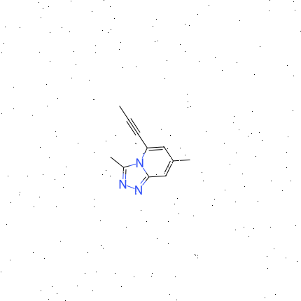 CC#Cc1cc(C)cc2nnc(C)n12